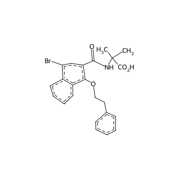 CC(C)(NC(=O)c1cc(Br)c2ccccc2c1OCCc1ccccc1)C(=O)O